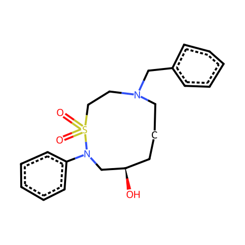 O=S1(=O)CCN(Cc2ccccc2)CCC[C@@H](O)CN1c1ccccc1